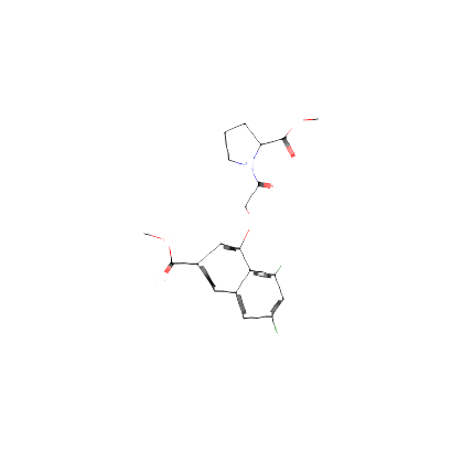 COC(=O)c1cc(OCC(=O)N2CCCC2C(=O)OC)c2c(Cl)cc(Cl)cc2c1